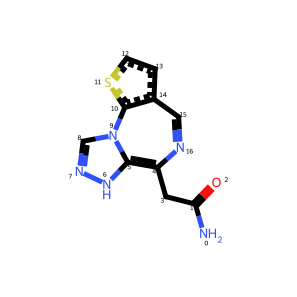 NC(=O)CC1=C2NN=CN2c2sccc2C=N1